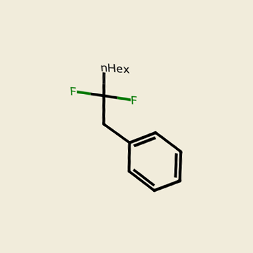 [CH2]CCCCCC(F)(F)Cc1ccccc1